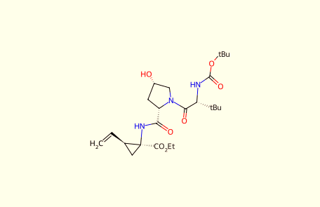 C=C[C@@H]1C[C@@]1(NC(=O)[C@@H]1C[C@H](O)CN1C(=O)[C@H](NC(=O)OC(C)(C)C)C(C)(C)C)C(=O)OCC